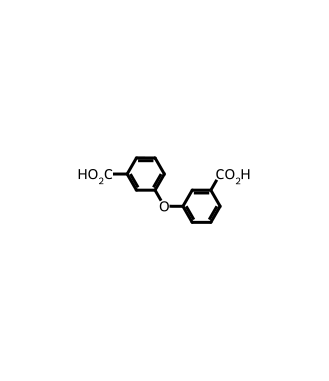 O=C(O)c1cccc(Oc2cccc(C(=O)O)c2)c1